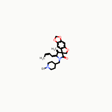 C=C1/C(=C\C=C/C)N(CC2CCN(CC)CC2)C(=O)C12COc1cc3c(cc12)OCO3